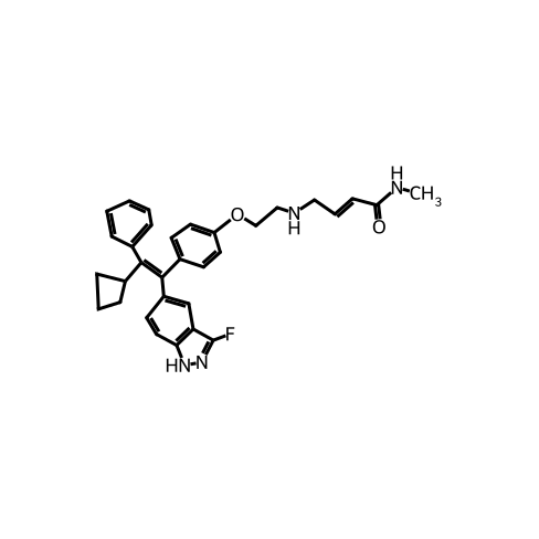 CNC(=O)/C=C/CNCCOc1ccc(/C(=C(\c2ccccc2)C2CCC2)c2ccc3[nH]nc(F)c3c2)cc1